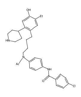 CCc1cc(CCCCN(C(C)=O)c2ccc(NC(=O)c3ccc(Cl)cc3)cc2)c(C2CCNCC2)cc1O